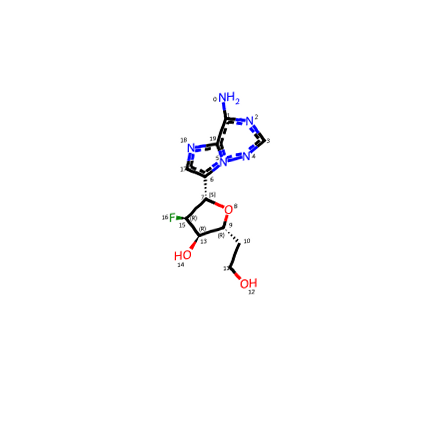 Nc1ncnn2c([C@@H]3O[C@H](CCO)[C@@H](O)[C@H]3F)cnc12